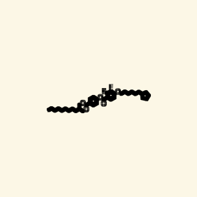 CCCCCCCCCC1COC(c2ccc(OC(=O)c3ccc(OCCCCCCC4CCCC4)c(F)c3F)cc2)OC1